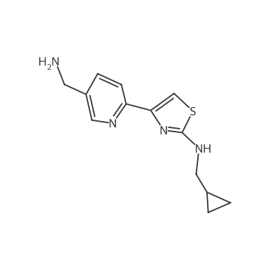 NCc1ccc(-c2csc(NCC3CC3)n2)nc1